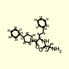 CC(C)(N)C(=O)NC(CCc1ccccc1)C(=O)N1CCC(c2ccccc2)CC1